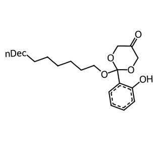 CCCCCCCCCCCCCCCCOC1(c2ccccc2O)OCC(=O)CO1